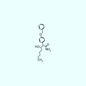 CCCCCC(O)C(C(N)=O)c1ccc(OCc2ccccc2)cc1